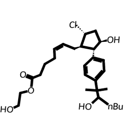 CCCCC(O)C(C)(C)c1ccc([C@@H]2[C@@H](C/C=C\CCCC(=O)OCCO)[C@H](Cl)C[C@H]2O)cc1